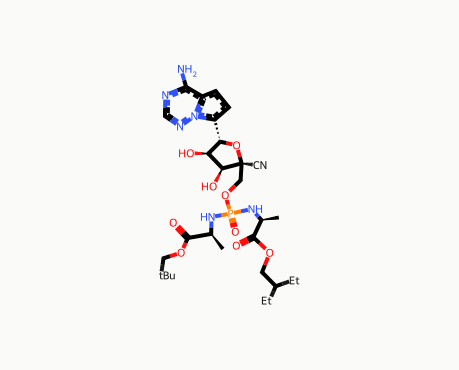 CCC(CC)COC(=O)[C@H](C)NP(=O)(N[C@@H](C)C(=O)OCC(C)(C)C)OC[C@@]1(C#N)O[C@@H](c2ccc3c(N)ncnn23)[C@H](O)[C@@H]1O